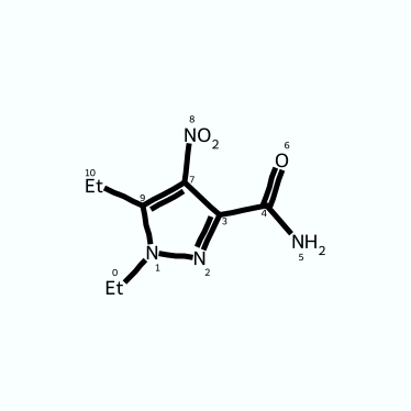 [CH2]Cn1nc(C(N)=O)c([N+](=O)[O-])c1CC